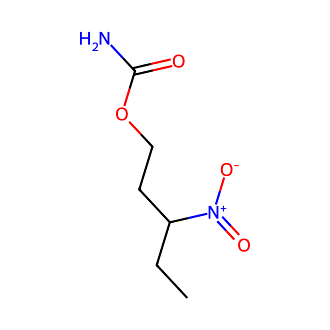 CCC(CCOC(N)=O)[N+](=O)[O-]